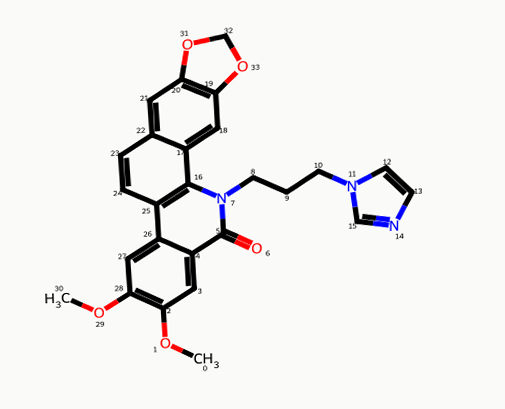 COc1cc2c(=O)n(CCCn3ccnc3)c3c4cc5c(cc4ccc3c2cc1OC)OCO5